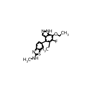 CCOc1c(F)c(CC)c(-c2ccc3nc(NC)sc3c2)c2cn[nH]c12